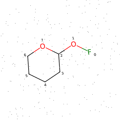 FOC1CCCCO1